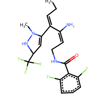 CC/C=C(C1=CC(C(F)(F)F)NN1C)\C(N)=C/CNC(=O)c1c(F)cccc1F